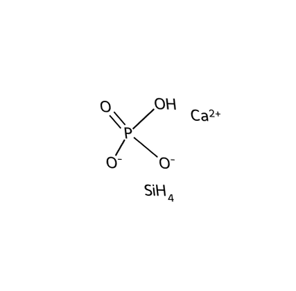 O=P([O-])([O-])O.[Ca+2].[SiH4]